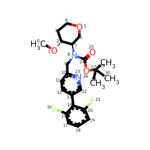 CO[C@@H]1CCOC[C@H]1N(Cc1ccc(-c2c(F)cccc2F)cn1)C(=O)OC(C)(C)C